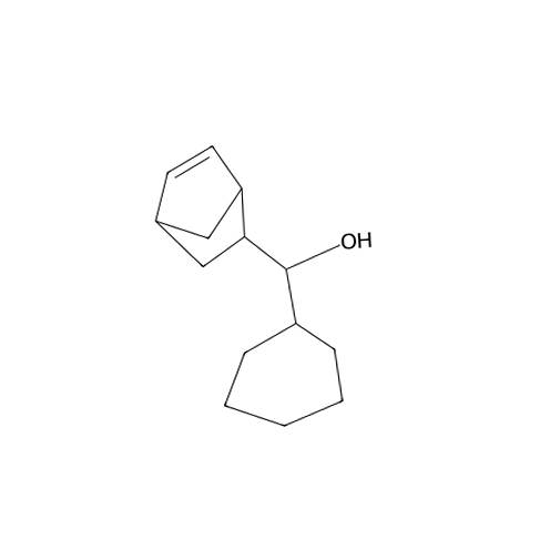 OC(C1CCCCC1)C1CC2C=CC1C2